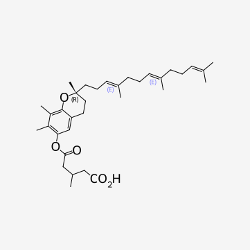 CC(C)=CCC/C(C)=C/CC/C(C)=C/CC[C@]1(C)CCc2cc(OC(=O)CC(C)CC(=O)O)c(C)c(C)c2O1